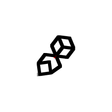 [C]1CC2CC(C1)C2C1CC2[C]C(C2)C1